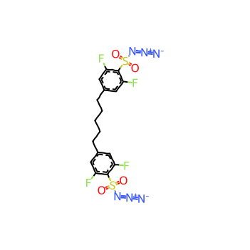 [N-]=[N+]=NS(=O)(=O)c1c(F)cc(CCCCCc2cc(F)c(S(=O)(=O)N=[N+]=[N-])c(F)c2)cc1F